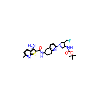 Cc1ccc2c(N)c(C(=O)N[C@H]3CCc4nc(N5CC(CF)C(NC(=O)OC(C)(C)C)C5)ccc4C3)sc2n1